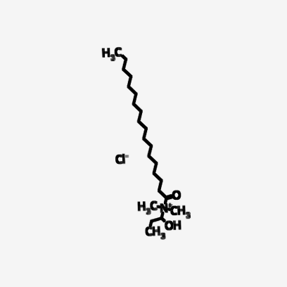 CCCCCCCCCCCCCCCCCC(=O)[N+](C)(C)C(O)CC.[Cl-]